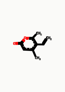 C=Cc1c(C)cc(=O)oc1C